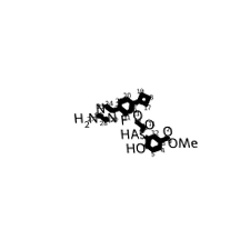 COC(=O)c1ccc(O)c([AsH]C(=O)COc2c(C3CCC3)ccc(-c3cnc(N)cn3)c2F)c1